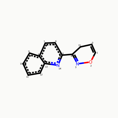 C1=CON=C(c2ccc3ccccc3n2)C1